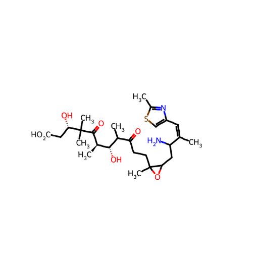 CC(=Cc1csc(C)n1)C(N)CC1OC1(C)CCC(=O)C(C)[C@H](O)[C@@H](C)C(=O)C(C)(C)[C@@H](O)CC(=O)O